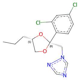 CCC[C@H]1CO[C@](Cn2cncn2)(c2ccc(Cl)cc2Cl)O1